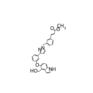 COC(=O)/C=C/c1cccc(Cn2ccc(-c3cccc(Oc4ccc5[nH]ccc5c4CO)c3)n2)c1